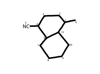 CC1CCC(C#N)C2CCCCC12